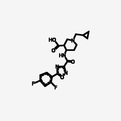 O=C(NC1CCN(CC2CC2)CC1C(=O)O)c1noc(-c2ccc(F)cc2F)n1